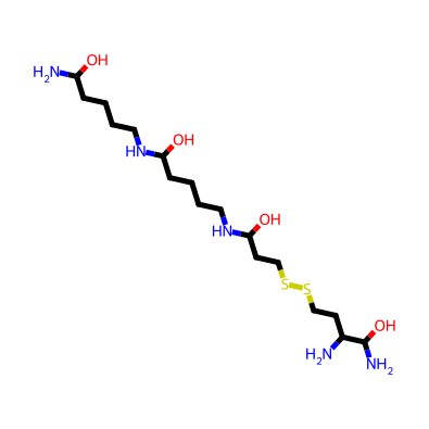 NC(O)CCCCNC(O)CCCCNC(O)CCSSCCC(N)C(N)O